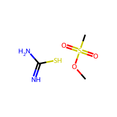 COS(C)(=O)=O.N=C(N)S